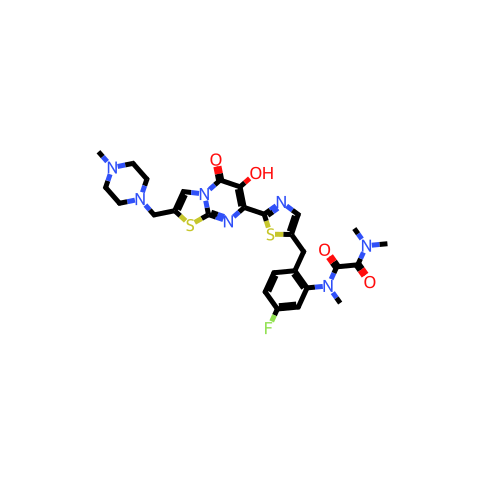 CN1CCN(Cc2cn3c(=O)c(O)c(-c4ncc(Cc5ccc(F)cc5N(C)C(=O)C(=O)N(C)C)s4)nc3s2)CC1